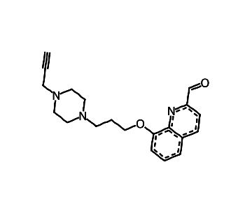 C#CCN1CCN(CCCOc2cccc3ccc(C=O)nc23)CC1